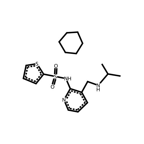 C1CCCCC1.CC(C)NCc1cccnc1NS(=O)(=O)c1cccs1